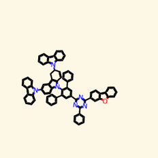 C1=CC(n2c3ccccc3c3ccccc32)Cc2c1n(-c1c(-c3ccccc3)cc(-c3nc(-c4ccccc4)nc(-c4ccc5c(c4)oc4ccccc45)n3)cc1-c1ccccc1)c1ccc(-n3c4ccccc4c4ccccc43)cc21